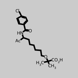 CC(=O)C(CCCCCCOC(C)(C)C(=O)O)NC(=O)c1ccc(Cl)cc1